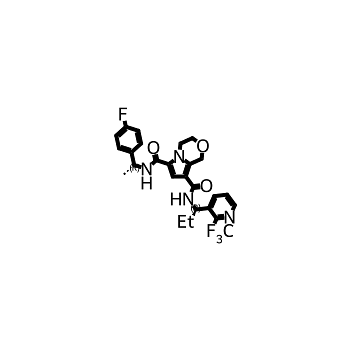 CC[C@@H](NC(=O)c1cc(C(=O)N[C@H](C)c2ccc(F)cc2)n2c1COCC2)c1cccnc1C(F)(F)F